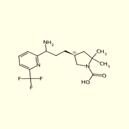 CC1(C)C[C@H](CCC(N)c2cccc(C(F)(F)F)n2)CN1C(=O)O